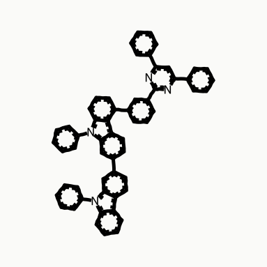 c1ccc(-c2cc(-c3ccccc3)nc(-c3cccc(-c4cccc5c4c4ccc(-c6ccc7c8ccccc8n(-c8ccccc8)c7c6)cc4n5-c4ccccc4)c3)n2)cc1